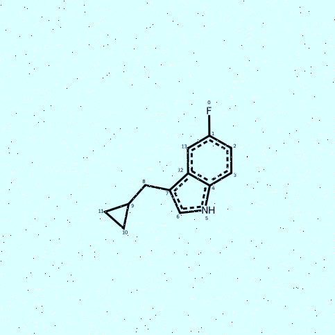 Fc1ccc2[nH]cc(CC3CC3)c2c1